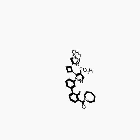 Cn1cc([C@H]2CC[C@@H]2c2c(C(=O)O)cnn2-c2cccc(-c3cccc(C(=O)N4CCCCCC4)c3F)c2)nn1